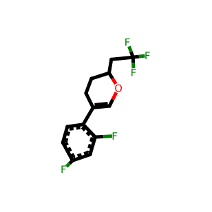 Fc1ccc(C2=COC(CC(F)(F)F)CC2)c(F)c1